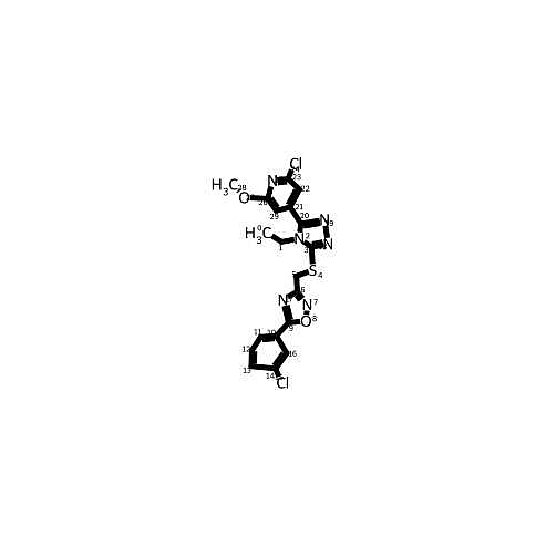 CCn1c(SCc2noc(-c3cccc(Cl)c3)n2)nnc1-c1cc(Cl)nc(OC)c1